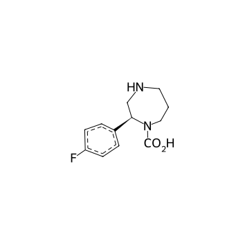 O=C(O)N1CCCNC[C@@H]1c1ccc(F)cc1